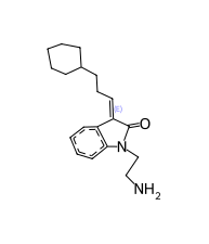 NCCN1C(=O)/C(=C/CCC2CCCCC2)c2ccccc21